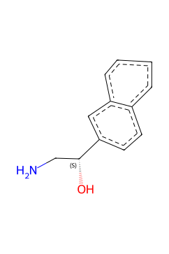 NC[C@@H](O)c1ccc2ccccc2c1